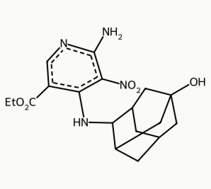 CCOC(=O)c1cnc(N)c([N+](=O)[O-])c1NC1C2CC3CC1CC(O)(C3)C2